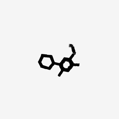 Cc1cc(C)c(C2CCCCC2)cc1OC(C)C